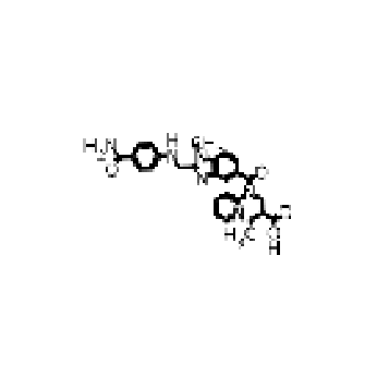 CCC(CN(C(=O)c1ccc2c(c1)nc(CNc1ccc(C(N)=O)cc1)n2C)c1ccccn1)C(=O)O